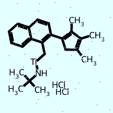 CC1=C(C)C(C)=C(c2ccc3ccccc3c2[CH2][Ti][NH]C(C)(C)C)C1.Cl.Cl